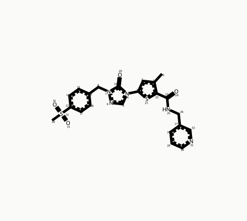 Cc1cc(-n2cnn(Cc3ccc(S(C)(=O)=O)cc3)c2=O)sc1C(=O)NCc1cccnc1